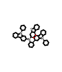 c1c(-c2ccccc2N(C2=Cc3sc4ccccc4c3CC2)c2ccc3c4ccccc4n(-c4ccccc4)c3c2)cc2c(c#1)c1ccccc1n2-c1ccccc1